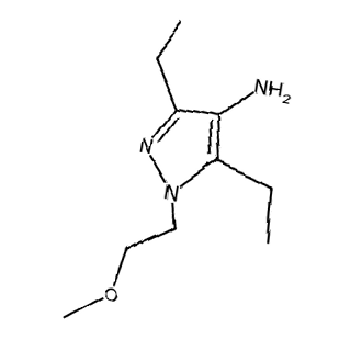 CCc1nn(CCOC)c(CC)c1N